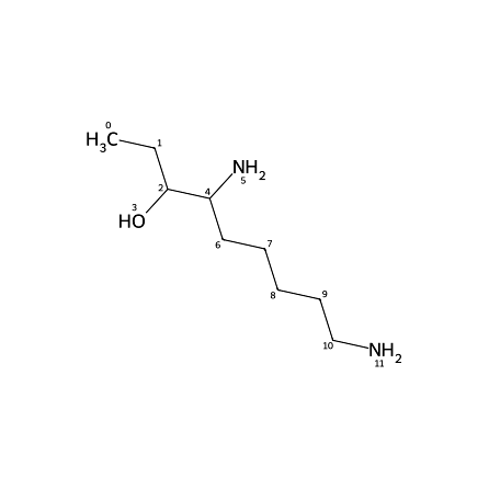 CCC(O)C(N)CCCCCN